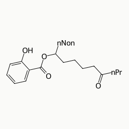 CCCCCCCCCC(CCCCC(=O)CCC)OC(=O)c1ccccc1O